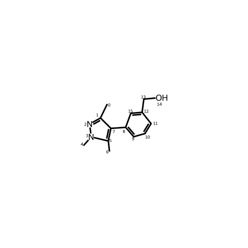 Cc1nn(C)c(C)c1-c1cccc(CO)c1